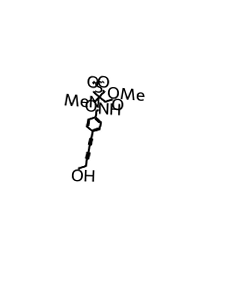 CNC1(C(NC(=O)c2ccc(C#CC#CCCO)cc2)C(=O)OC)CS(=O)(=O)C1